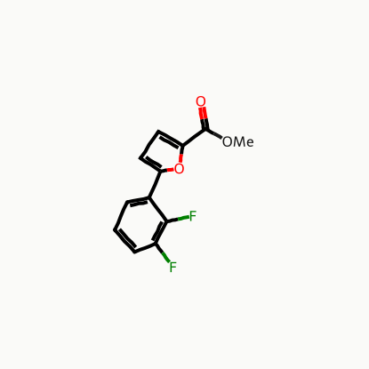 COC(=O)c1ccc(-c2cccc(F)c2F)o1